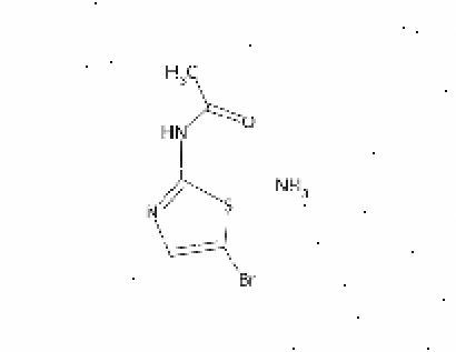 CC(=O)Nc1ncc(Br)s1.N